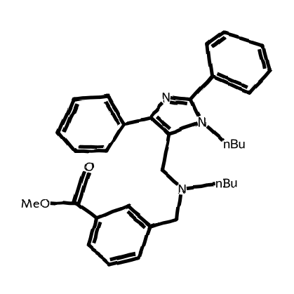 CCCCN(Cc1cccc(C(=O)OC)c1)Cc1c(-c2ccccc2)nc(-c2ccccc2)n1CCCC